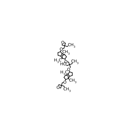 CCC1(COC2CC3CC2(C)C2CCC(OCC(CC)(CO)COC4CC5CC4(C)C4CCC(OCC6(CC)COC6)C54C)C32C)COC1